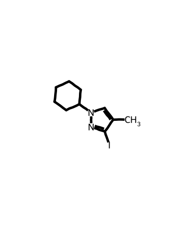 Cc1cn(C2CCCCC2)nc1I